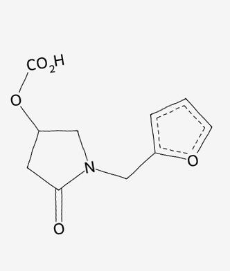 O=C(O)OC1CC(=O)N(Cc2ccco2)C1